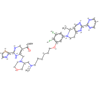 COC(=O)C1=C(CN2CCOCC2CN(C)CCCCCCOc2cc(N3CCc4nc(-c5ncccn5)ncc4C3C)cc(F)c2F)NC(c2nccs2)=NC1